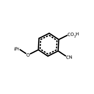 CC(C)Oc1ccc(C(=O)O)c(C#N)c1